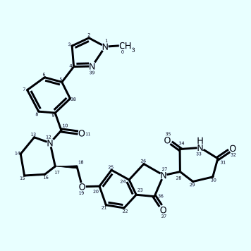 Cn1ccc(-c2cccc(C(=O)N3CCCC[C@@H]3COc3ccc4c(c3)CN(C3CCC(=O)NC3=O)C4=O)c2)n1